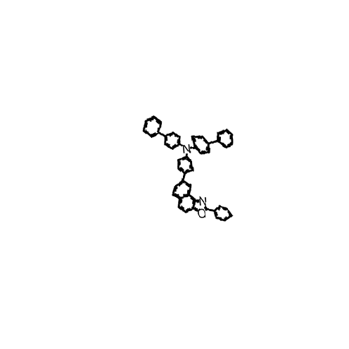 c1ccc(-c2ccc(N(c3ccc(-c4ccccc4)cc3)c3ccc(-c4ccc5ccc6oc(-c7ccccc7)nc6c5c4)cc3)cc2)cc1